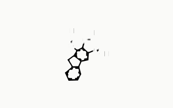 COc1cc2c(c(OC)c1OC)Cc1ccccc1-2